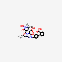 CCCCCN(Cc1ccc(-c2ccccc2C(=O)O)cc1)C(=O)C(CC(=O)O)NC(=O)C(CC(C)C)C(=O)NO